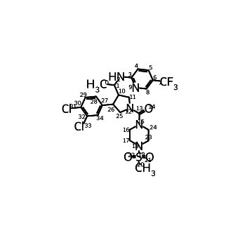 CC(Nc1ccc(C(F)(F)F)cn1)C1CN(C(=O)N2CCN(S(C)(=O)=O)CC2)CC1c1ccc(Cl)c(Cl)c1